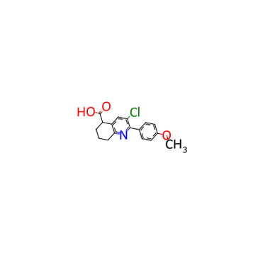 COc1ccc(-c2nc3c(cc2Cl)C(C(=O)O)CCC3)cc1